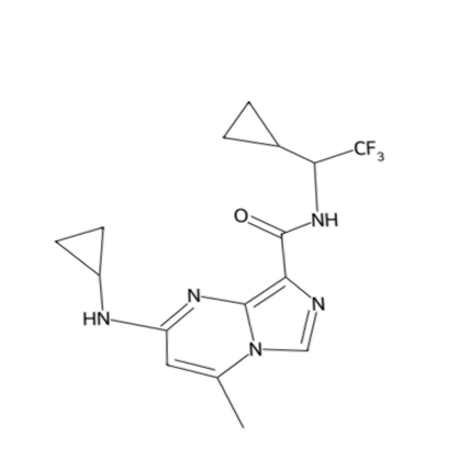 Cc1cc(NC2CC2)nc2c(C(=O)NC(C3CC3)C(F)(F)F)ncn12